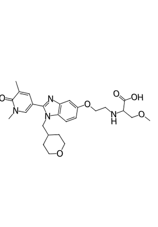 COCC(NCCOc1ccc2c(c1)nc(-c1cc(C)c(=O)n(C)c1)n2CC1CCOCC1)C(=O)O